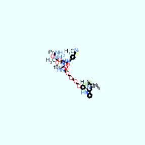 Cc1ncsc1-c1ccc(CNC(=O)[C@@H]2C[C@@H](OC(=O)C(C)NC(=O)C(N)C(C)C)CN2C(=O)C(NC(=O)COCCOCCOCCOc2cc(F)c([C@@H]3c4[nH]c5ccccc5c4C[C@@H](C)N3CC(C)(C)F)c(F)c2)C(C)(C)C)cc1